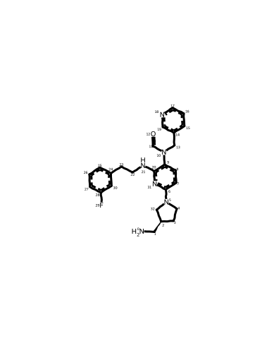 NC[C@@H]1CCN(c2ccc(N(C=O)Cc3cccnc3)c(NCCc3cccc(F)c3)n2)C1